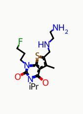 Cc1c(CNCCN)sc2c1c(=O)n(C(C)C)c(=O)n2CCCF